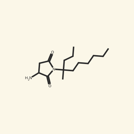 CCCCCCC(C)(CCC)N1C(=O)CC(N)C1=O